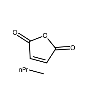 CCCC.O=C1C=CC(=O)O1